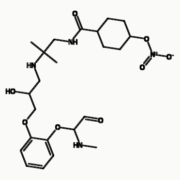 CNC(C=O)Oc1ccccc1OCC(O)CNC(C)(C)CNC(=O)C1CCC(O[N+](=O)[O-])CC1